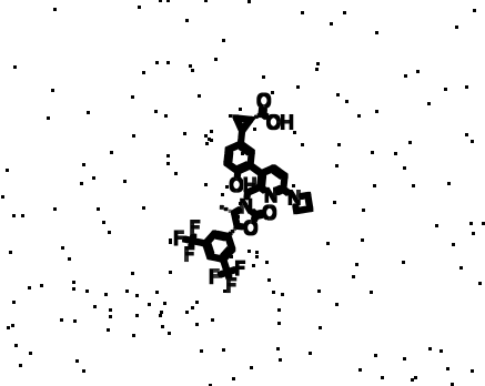 C[C@H]1[C@@H](c2cc(C(F)(F)F)cc(C(F)(F)F)c2)OC(=O)N1Cc1nc(N2CCC2)ccc1-c1cc(C2C[C@@H]2C(=O)O)ccc1O